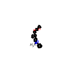 Cn1c(-c2ccccc2)nc2cc(-c3ccc(-c4ccc5oc6cc7c(cc6c5c4)oc4ccccc47)c4ccccc34)ccc21